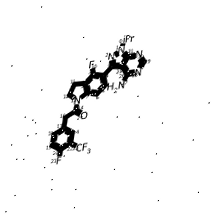 CC(C)n1nc(-c2ccc3c(c2F)CCN3C(=O)Cc2ccc(F)c(C(F)(F)F)c2)c2c(N)ncnc21